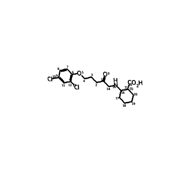 O=C(CCCOc1ccc(Cl)cc1Cl)CNC1CCCC[C@@H]1C(=O)O